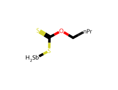 CCCCOC(=S)[S][SbH2]